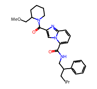 COCC1CCCCN1C(=O)c1cn2c(C(=O)NCC(CC(C)C)c3ccccc3)cccc2n1